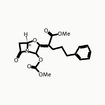 COC(=O)OC1C(=C(CCCc2ccccc2)C(=O)OC)O[C@@H]2CC(=O)N12